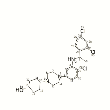 CC(Nc1cc(N2CCN([C@H]3CC[C@@H](O)CC3)CC2)ccc1Cl)c1ccc(Cl)cc1Cl